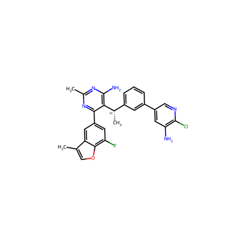 Cc1nc(N)c([C@@H](C)c2cccc(-c3cnc(Cl)c(N)c3)c2)c(-c2cc(F)c3occ(C)c3c2)n1